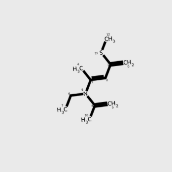 C=C(/C=C(\C)N(CC)C(=C)C)SC